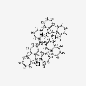 CC1(C)c2ccccc2-c2cccc(-c3cccc(N(c4ccc5c(c4)C(C)(c4ccccc4)c4ccccc4-5)c4ccc5ccccc5c4)c3)c21